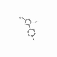 Cc1ccc(-n2nc(C(C)(C)C)cc2C(C)C)nc1